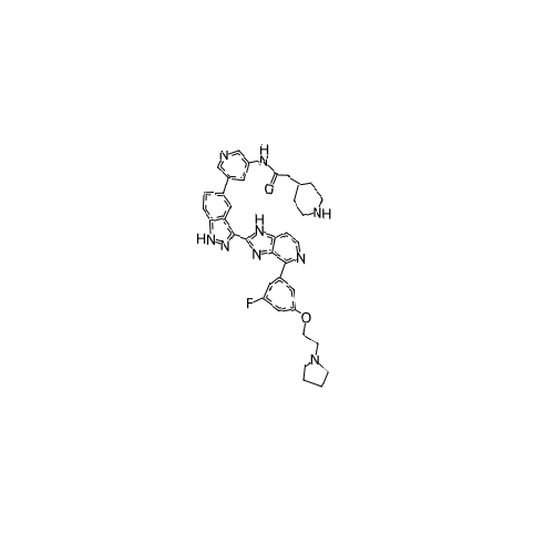 O=C(CC1CCNCC1)Nc1cncc(-c2ccc3[nH]nc(-c4nc5c(-c6cc(F)cc(OCCN7CCCC7)c6)nccc5[nH]4)c3c2)c1